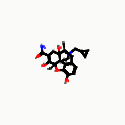 NC(=O)C1=C(O)[C@@H]2Oc3c(O)ccc4c3[C@@]23CCN(CC2CC2)[C@H](C4)[C@]3(O)C1